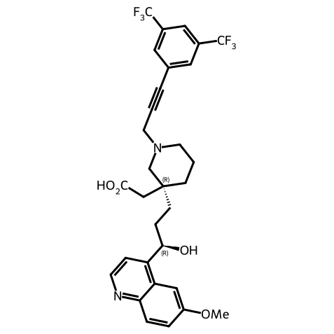 COc1ccc2nccc([C@H](O)CC[C@@]3(CC(=O)O)CCCN(CC#Cc4cc(C(F)(F)F)cc(C(F)(F)F)c4)C3)c2c1